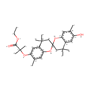 CCOC(=O)C(C)(C)Oc1cc2c(cc1C)OC1(CC(C)(C)c3cc(O)c(C)cc3O1)CC2(C)C